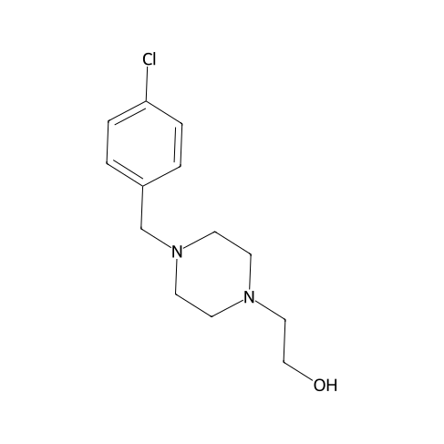 OCCN1CCN(Cc2ccc(Cl)cc2)CC1